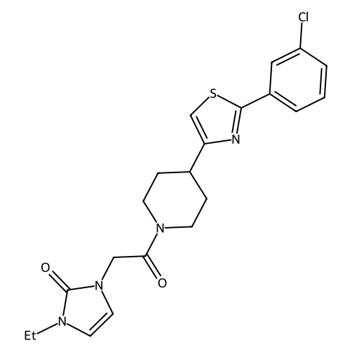 CCn1ccn(CC(=O)N2CCC(c3csc(-c4cccc(Cl)c4)n3)CC2)c1=O